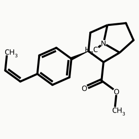 C/C=C\c1ccc([C@H]2CC3CCC(C2C(=O)OC)N3C)cc1